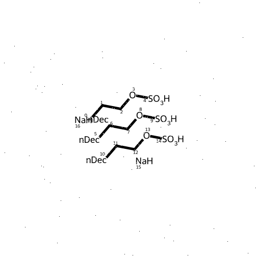 CCCCCCCCCCCCOS(=O)(=O)O.CCCCCCCCCCCCOS(=O)(=O)O.CCCCCCCCCCCCOS(=O)(=O)O.[NaH].[NaH]